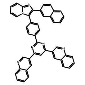 c1ccc2cc(-c3nc4ccccn4c3-c3ccc(-c4nc(-c5cnc6ccccc6c5)cc(-c5cnc6ccccc6c5)n4)cc3)ccc2c1